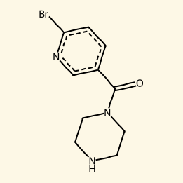 O=C(c1ccc(Br)nc1)N1CCNCC1